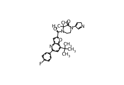 CC(C)(C)c1cc(-c2ccc(F)cc2)nc2cc(C(=O)N3CCN(C4=CCN=C4)C(=O)C3(C)C)oc12